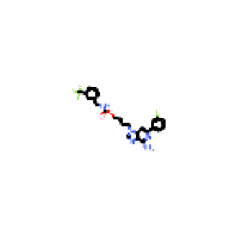 Nc1nc(-c2cccc(F)c2)cc2c1ncn2CCCCOC(=O)NCc1cccc(C(F)(F)F)c1